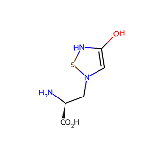 N[C@@H](CN1C=C(O)NS1)C(=O)O